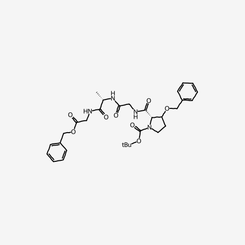 C[C@H](NC(=O)CNC(=O)[C@@H]1C(OCc2ccccc2)CCN1C(=O)OC(C)(C)C)C(=O)NCC(=O)OCc1ccccc1